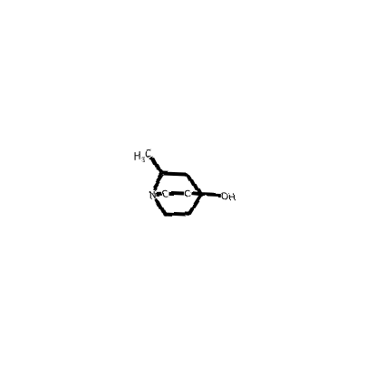 CC1CC2(O)CCN1CC2